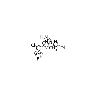 C[C@H](NC(=O)c1cc(Cl)cc(S(=O)(=O)C(F)(F)F)c1)c1nc(N)nn1-c1ccc(C#N)cn1